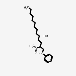 Br.CCCCCCCCCCCCC(COc1ccccc1)N(C)C